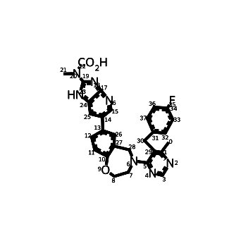 Cc1ncnc(N2CCOc3ccc(-c4cnc5nc(N(C)C(=O)O)[nH]c5c4)cc3C2)c1Cc1ccc(F)cc1